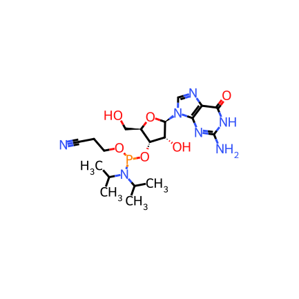 CC(C)N(C(C)C)P(OCCC#N)O[C@H]1[C@@H](O)[C@H](n2cnc3c(=O)[nH]c(N)nc32)O[C@@H]1CO